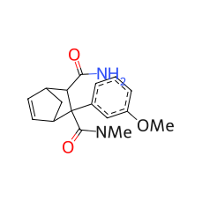 CNC(=O)C1(c2cccc(OC)c2)C2C=CC(C2)C1C(N)=O